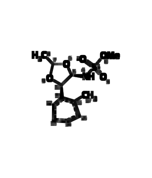 COS(=O)(=O)N[C@@H]1OC(C)O[C@@H]1c1ccccc1C